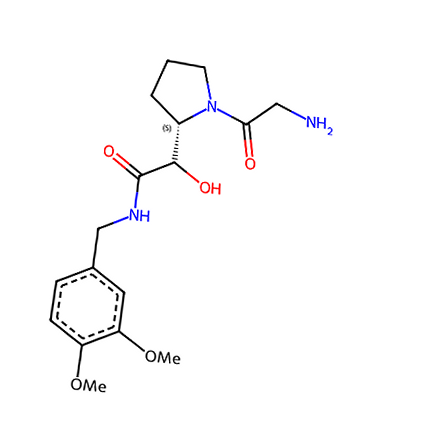 COc1ccc(CNC(=O)C(O)[C@@H]2CCCN2C(=O)CN)cc1OC